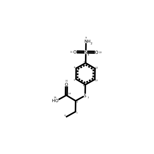 CCC(Sc1ccc(S(N)(=O)=O)cc1)C(=O)O